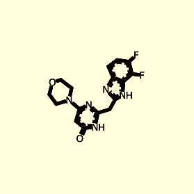 O=c1cc(N2CCOCC2)nc(Cc2nc3ccc(F)c(F)c3[nH]2)[nH]1